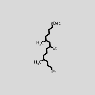 CCCCCCCCCCCCCCC(C)CC(CC)CCCC(C)CCCC(C)C